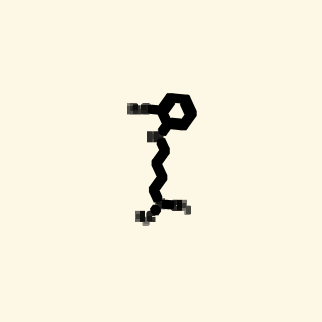 CC(C)COc1ccccc1NCCCCN(C)C